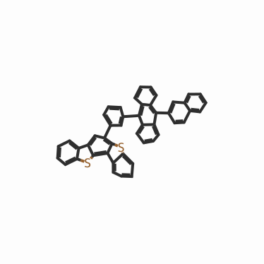 c1cc(-c2c3ccccc3c(-c3ccc4ccccc4c3)c3ccccc23)cc(-c2cc3c4ccccc4sc3c3c2sc2ccccc23)c1